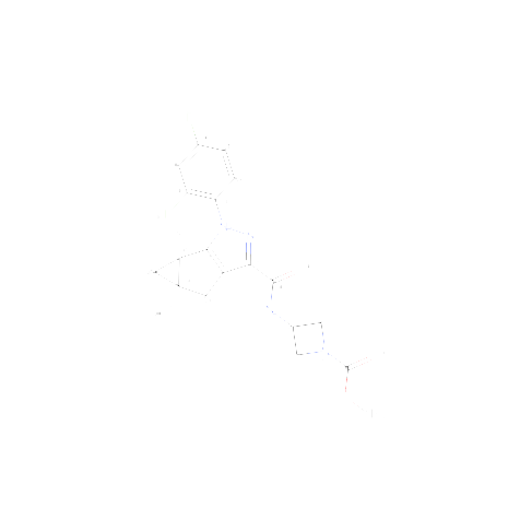 CC(C)(C)OC(=O)N1CC(NC(=O)c2nn(-c3ccc(F)cc3F)c3c2C[C@H]2C[C@@H]32)C1